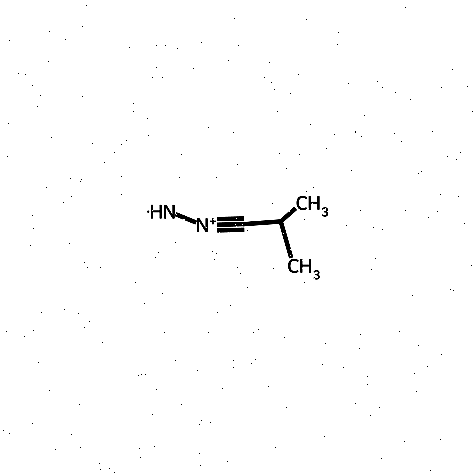 CC(C)C#[N+][NH]